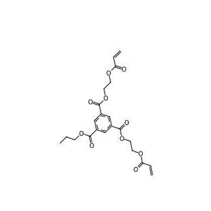 C=CC(=O)OCCOC(=O)c1cc(C(=O)OCCC)cc(C(=O)OCCOC(=O)C=C)c1